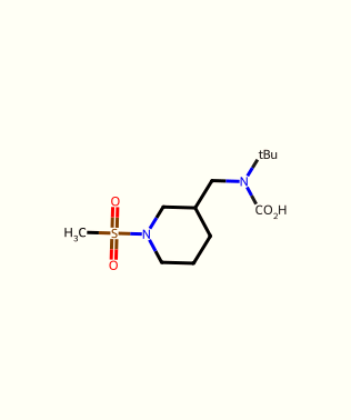 CC(C)(C)N(CC1CCCN(S(C)(=O)=O)C1)C(=O)O